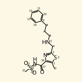 Cc1sc(CNCCCc2ccccc2)nc1C(=O)NS(C)(=O)=O